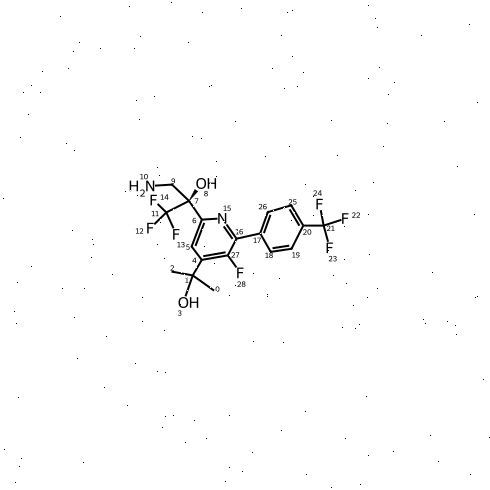 CC(C)(O)c1cc([C@@](O)(CN)C(F)(F)F)nc(-c2ccc(C(F)(F)F)cc2)c1F